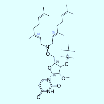 COC1C(O[Si](C)(C)C(C)(C)C)[C@@H](CON(C/C=C(\C)CCC=C(C)C)C/C=C(\C)CCC=C(C)C)O[C@H]1n1ccc(=O)[nH]c1=O